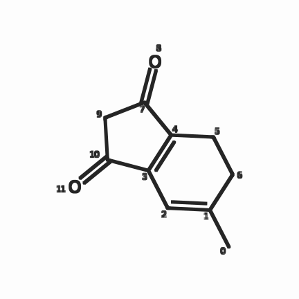 CC1=CC2=C(CC1)C(=O)CC2=O